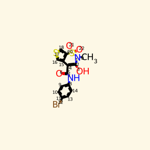 CN1C(O)=C(C(=O)Nc2ccc(Br)cc2)c2cscc2S1(=O)=O